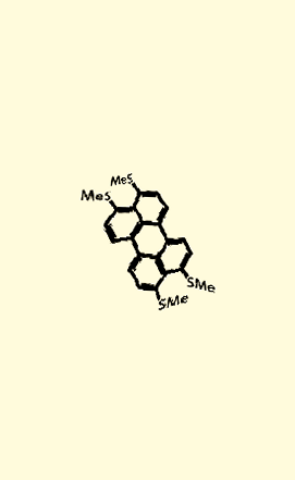 CSc1ccc2c3ccc(SC)c4c(SC)ccc(c5ccc(SC)c1c25)c43